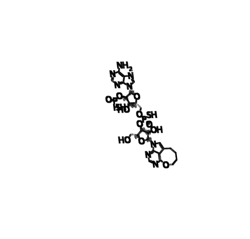 Nc1ncnc2c1ncn2[C@@H]1O[C@H](COP(=O)(S)O[C@H]2[C@@H](O)[C@H](n3cc4c5c(ncnc53)OCCCC4)O[C@@H]2CO)[C@@H](O)[C@H]1O[PH](=O)S